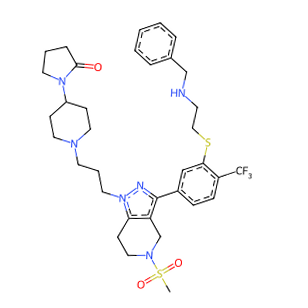 CS(=O)(=O)N1CCc2c(c(-c3ccc(C(F)(F)F)c(SCCNCc4ccccc4)c3)nn2CCCN2CCC(N3CCCC3=O)CC2)C1